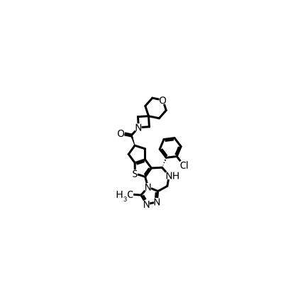 Cc1nnc2n1-c1sc3c(c1[C@H](c1ccccc1Cl)NC2)C[C@H](C(=O)N1CC2(CCOCC2)C1)C3